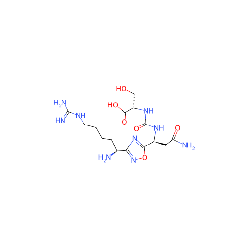 N=C(N)NCCCC[C@H](N)c1noc([C@H](CC(N)=O)NC(=O)N[C@@H](CO)C(=O)O)n1